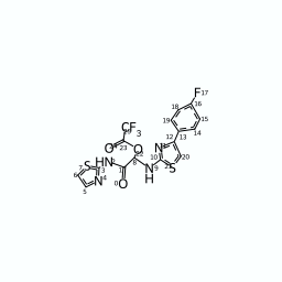 O=C(Nc1nccs1)C(Nc1nc(-c2ccc(F)cc2)cs1)OC(=O)C(F)(F)F